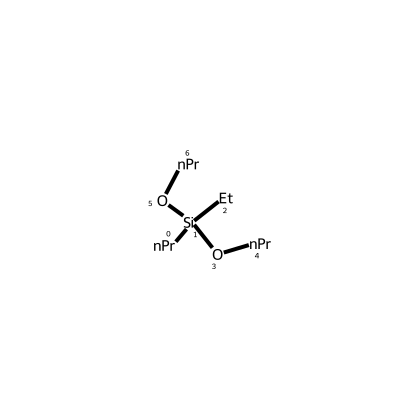 C[CH]C[Si](CC)(OCCC)OCCC